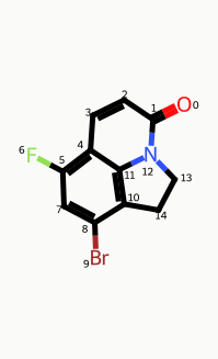 O=c1ccc2c(F)cc(Br)c3c2n1CC3